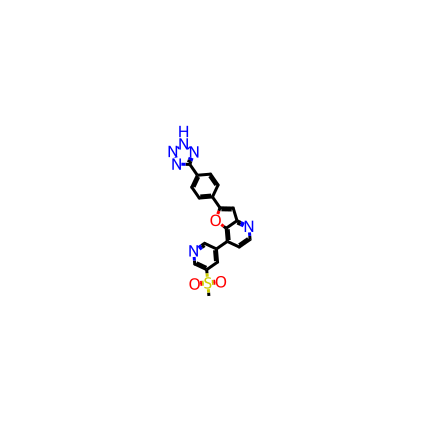 CS(=O)(=O)c1cncc(-c2ccnc3cc(-c4ccc(-c5nn[nH]n5)cc4)oc23)c1